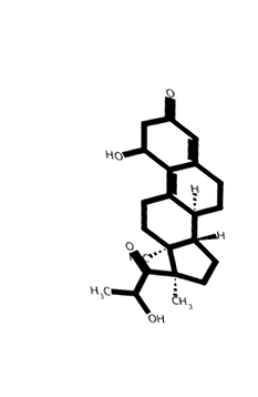 CC(O)C(=O)[C@]1(C)CC[C@H]2[C@@H]3CCC4=CC(=O)CC(O)C4=C3CC[C@@]21C